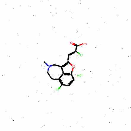 CN1CCc2c(Cl)ccc3oc(/C=C(\Cl)C(=O)O)c(c23)C1.Cl